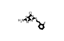 Nc1nc2nc(SCCc3ccccc3F)nc(Cl)c2s1